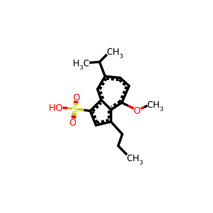 CCCc1cc(S(=O)(=O)O)c2cc(C(C)C)ccc(OC)c1-2